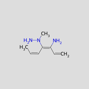 C=C/C(N)=C(\C=C/C)N(C)N